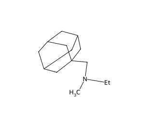 CCN(C)CC12CC3CC(CC(C3)C1)C2